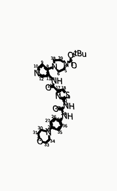 CC(C)(C)OC(=O)N1CCN(c2ccncc2NC(=O)c2csc(NC(=O)Nc3ccc(N4CCOCC4)cc3)n2)CC1